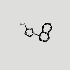 CSc1ccn(-c2cccc3ccccc23)n1